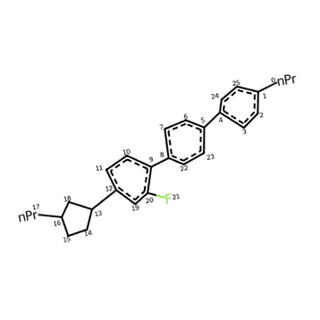 CCCc1ccc(-c2ccc(-c3ccc(C4CCC(CCC)C4)cc3F)cc2)cc1